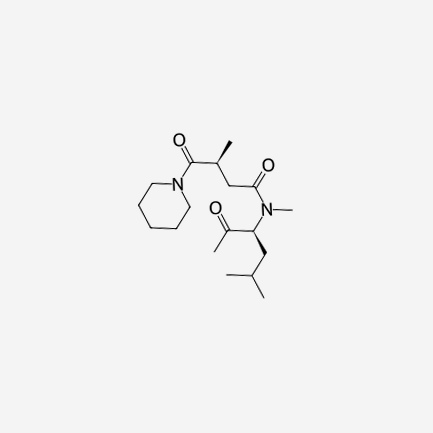 CC(=O)[C@H](CC(C)C)N(C)C(=O)C[C@H](C)C(=O)N1CCCCC1